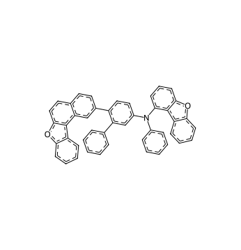 c1ccc(-c2cc(N(c3ccccc3)c3cccc4oc5ccccc5c34)ccc2-c2ccc3ccc4oc5ccccc5c4c3c2)cc1